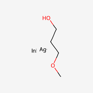 COCCCO.[Ag].[In]